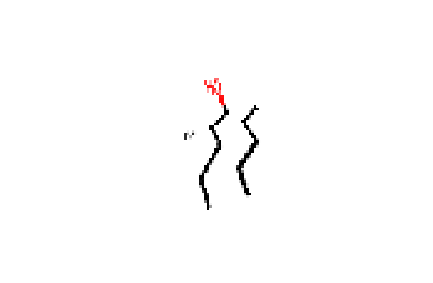 CCCCC.CCCCCO.[H+]